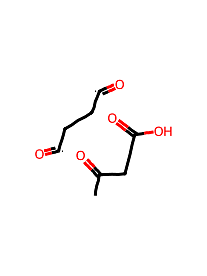 CC(=O)CC(=O)O.O=[C]CC[C]=O